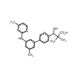 Cc1cc(Nc2nccc(C(F)(F)F)n2)cc(-c2ccc(C(O)C(C)(C)C(=O)O)nc2)c1